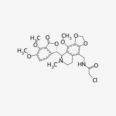 COc1ccc2c(c1OC)C(=O)O[C@@H]2[C@H]1c2c(c(CNC(=O)CCl)c3c(c2OC)OCO3)CCN1C